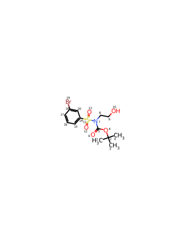 CC(C)(C)OC(=O)N(CCO)S(=O)(=O)c1cccc(Br)c1